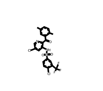 Cc1ccc(C)c(C(=O)c2ncc(Cl)cc2NS(=O)(=O)c2ccc(Cl)c(C(F)(F)F)c2)c1